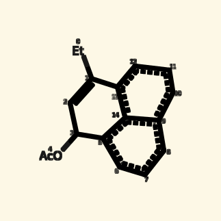 CCC1=CC(OC(C)=O)c2cccc3cccc1c23